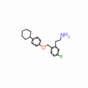 NCCc1cc(F)ccc1COc1ccc(C2CCCCC2)cc1